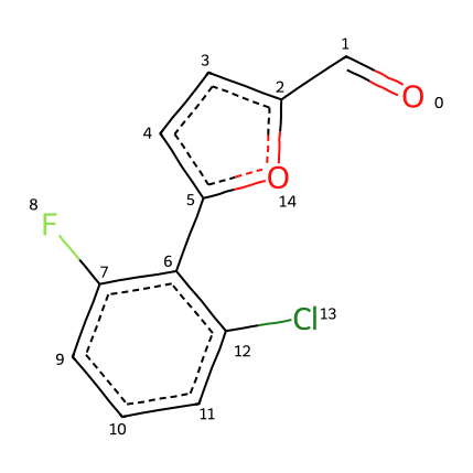 O=Cc1ccc(-c2c(F)cccc2Cl)o1